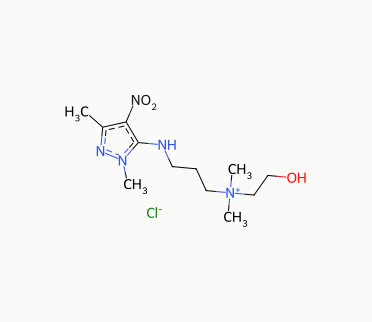 Cc1nn(C)c(NCCC[N+](C)(C)CCO)c1[N+](=O)[O-].[Cl-]